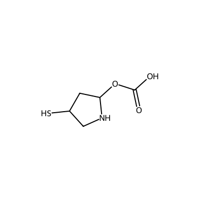 O=C(O)OC1CC(S)CN1